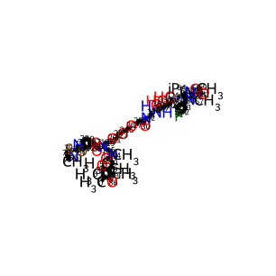 CC1=C(C)C(=O)C(C(C)(C)CC(=O)N(C)CCN(CCOCCOCCOCCC(=O)NCCNC(=O)C[C@H](O)C[C@H](O)/C=C/c2c(-c3ccc(F)cc3)nc(N(C)S(C)(=O)=O)nc2C(C)C)C(=O)Oc2ccc3nc(C4=NC(C)CS4)sc3c2)=C(C)C1=O